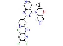 Fc1cc(F)c(Nc2cc(-c3nc(N4CCOC5=CNCC54)c4c(C5CC5)cncc4n3)ccn2)nc1F